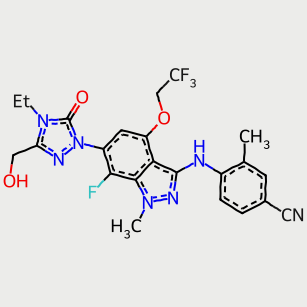 CCn1c(CO)nn(-c2cc(OCC(F)(F)F)c3c(Nc4ccc(C#N)cc4C)nn(C)c3c2F)c1=O